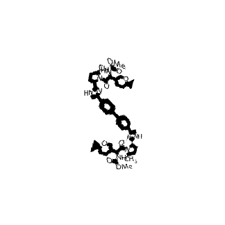 COC(=O)NC(C(=O)N1C(c2nc(-c3ccc(-c4ccc(-c5c[nH]c([C@@H]6CC[C@H](C)N6C(=O)C(NC(=O)OC)C6CCC7(CC7)OC6)n5)cc4)cc3)c[nH]2)CC[C@@H]1C)C1CCC2(CC2)OC1